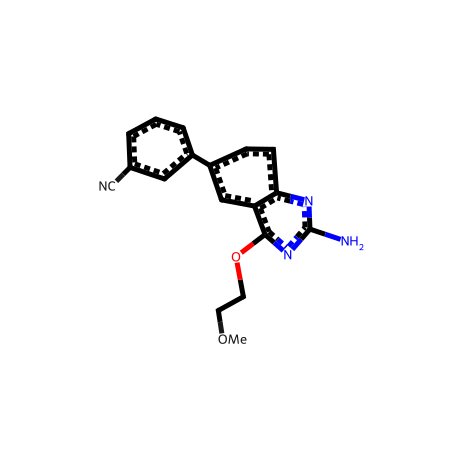 COCCOc1nc(N)nc2ccc(-c3cccc(C#N)c3)cc12